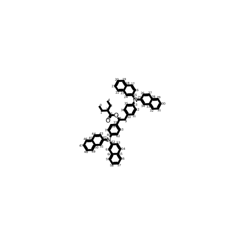 CCC(CC)C(=O)OC(Cc1ccc(N(c2ccc3ccccc3c2)c2ccc3ccccc3c2)cc1)c1ccc(N(c2ccc3ccccc3c2)c2ccc3ccccc3c2)cc1